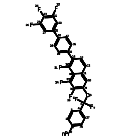 CCCc1ccc(C(F)(F)Oc2cc3ccc(-c4ccc(-c5cc(F)c(F)c(F)c5)cc4)c(F)c3c(F)c2F)cc1